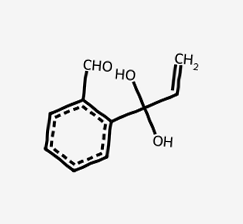 C=CC(O)(O)c1ccccc1C=O